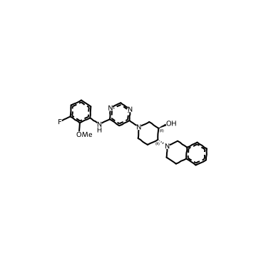 COc1c(F)cccc1Nc1cc(N2CC[C@@H](N3CCc4ccccc4C3)[C@H](O)C2)ncn1